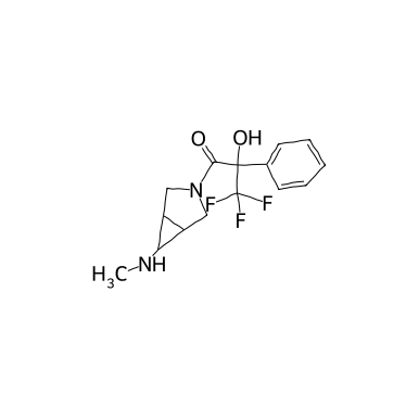 CNC1C2CN(C(=O)C(O)(c3ccccc3)C(F)(F)F)CC21